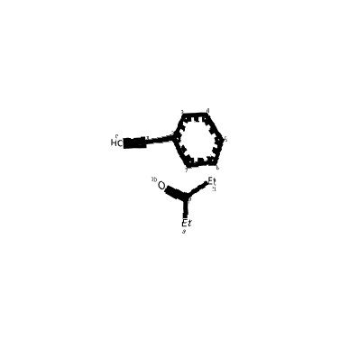 C#Cc1ccccc1.CCC(=O)CC